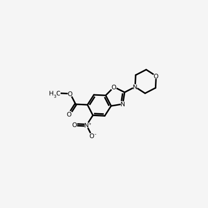 COC(=O)c1cc2oc(N3CCOCC3)nc2cc1[N+](=O)[O-]